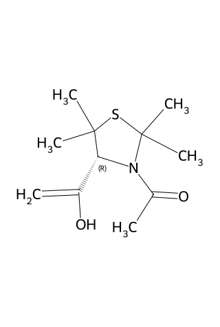 C=C(O)[C@H]1N(C(C)=O)C(C)(C)SC1(C)C